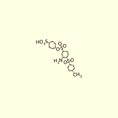 Cc1ccc(S(=O)(=O)c2ccc(S(=O)(=O)Oc3ccc(S(=O)(=O)O)cc3)cc2N)cc1